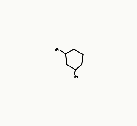 C[CH]CC1CCCC(CCC)C1